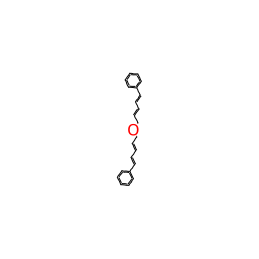 C(C=Cc1ccccc1)=CCOCC=CC=Cc1ccccc1